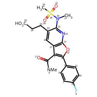 CNC(=O)c1c(-c2ccc(F)cc2)oc2nc(N(C)S(C)(=O)=O)c(CCC(=O)O)cc12